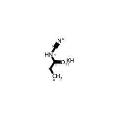 CCC(=O)NC#N.[KH]